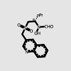 CCC[C@@H](CS(=O)(=O)Cc1cnc2ccccc2c1)N(O)C=O